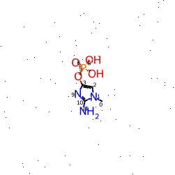 Cn1cc(OP(=O)(O)O)nc1N